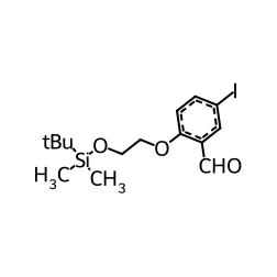 CC(C)(C)[Si](C)(C)OCCOc1ccc(I)cc1C=O